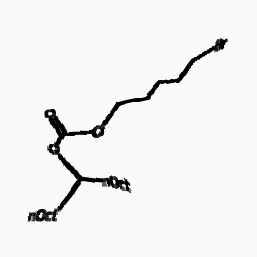 CCCCCCCCC(CCCCCCCC)OC(=O)OCCCCCBr